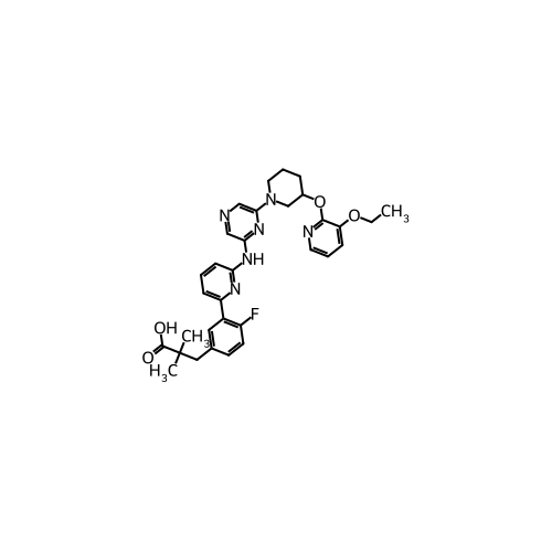 CCOc1cccnc1OC1CCCN(c2cncc(Nc3cccc(-c4cc(CC(C)(C)C(=O)O)ccc4F)n3)n2)C1